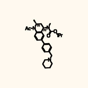 CC(=O)N1c2ccc(-c3ccc(CN4CCCCC4)cc3)cc2[C@H](N(C)C(=O)OC(C)C)C[C@@H]1C